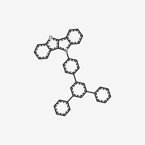 c1ccc(-c2cc(-c3ccccc3)cc(-c3ccc(-n4c5ccccc5c5oc6ccccc6c54)cc3)c2)cc1